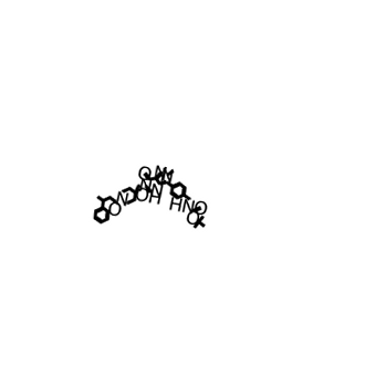 CC(CC(=O)N1CCC(O)(Cn2cnc3c(-c4ccc(CNC(=O)OC(C)(C)C)cc4)n(C)nc3c2=O)CC1)c1ccccc1